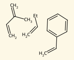 C=CC(=C)C.C=CCC.C=Cc1ccccc1